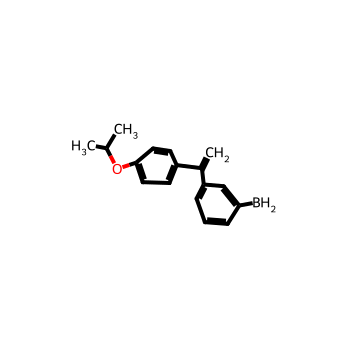 Bc1cccc(C(=C)c2ccc(OC(C)C)cc2)c1